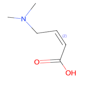 CN(C)C/C=C\C(=O)O